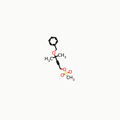 CC(C)(C#CCOS(C)(=O)=O)OCc1ccccc1